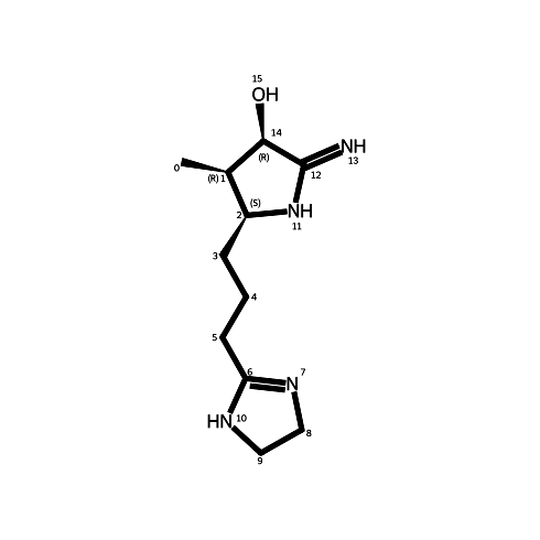 C[C@@H]1[C@H](CCCC2=NCCN2)NC(=N)[C@@H]1O